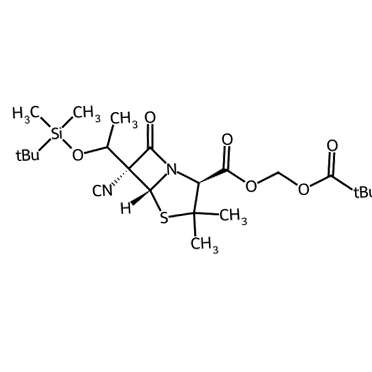 [C-]#[N+][C@]1(C(C)O[Si](C)(C)C(C)(C)C)C(=O)N2[C@@H](C(=O)OCOC(=O)C(C)(C)C)C(C)(C)S[C@@H]21